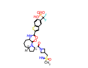 CS(=N)(=O)CC1CN(C(=O)[C@@H]2CC[C@@H]3CCCC(NC(=O)c4cc5cc(C(F)(F)P(=O)(O)O)ccc5s4)C(=O)N32)C1